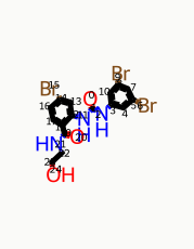 O=C(Nc1cc(Br)cc(Br)c1)Nc1cc(Br)ccc1C(=O)NCCO